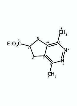 CCOC(=O)C1Cc2c(C)nnc(C)c2C1